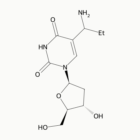 CCC(N)c1cn([C@H]2C[C@H](O)[C@@H](CO)O2)c(=O)[nH]c1=O